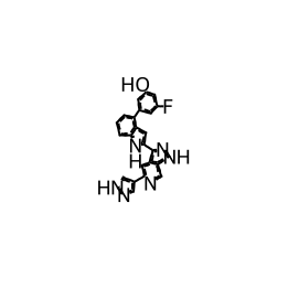 Oc1cc(F)cc(-c2cccc3[nH]c(-c4n[nH]c5cnc(-c6cn[nH]c6)cc45)cc23)c1